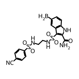 Bc1ccc2[nH]c(C(N)=O)c(S(=O)(=O)NCCNS(=O)(=O)c3ccc(C#N)cc3)c2c1